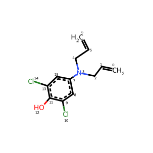 C=CCN(CC=C)c1cc(Cl)c(O)c(Cl)c1